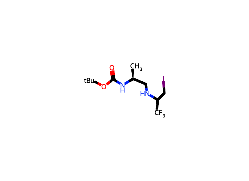 C[C@@H](CNC(CI)C(F)(F)F)NC(=O)OC(C)(C)C